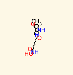 COc1ccc2[nH]c3c(c2c1)CCN(C(=O)CCCCCCC(=O)NO)C3